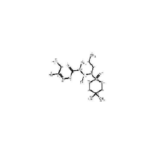 CCCN([S+]([O-])N(C)C(=O)O/N=C(/S)CC)P1(=S)OCC(C)(C)CO1